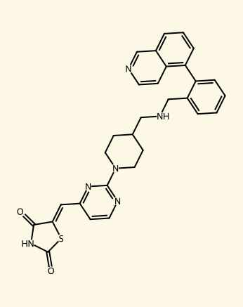 O=C1NC(=O)/C(=C/c2ccnc(N3CCC(CNCc4ccccc4-c4cccc5cnccc45)CC3)n2)S1